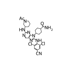 CC(=O)N1CCCC(Nc2ncc3nc(Nc4c(Cl)cc(C#N)cc4Cl)n(C4CCC(C(N)=O)CC4)c3n2)C1